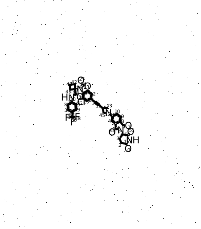 O=C1CCC(N2C(=O)c3ccc(N4CC(C#Cc5ccc6c(c5)oc(=O)n6C5(C(=O)Nc6ccc(C(F)(F)F)cc6Cl)CCC5)C4)cc3C2=O)C(=O)N1